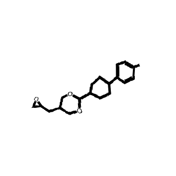 Cc1ccc(C2CCC(C3OCC(CC4CO4)CO3)CC2)cc1